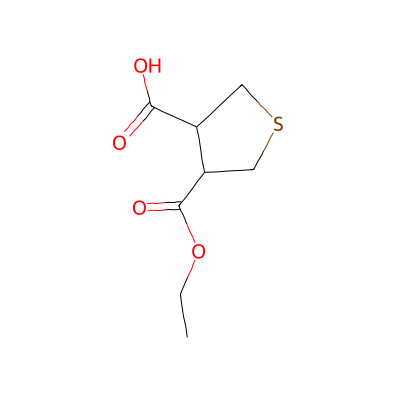 CCOC(=O)C1CSCC1C(=O)O